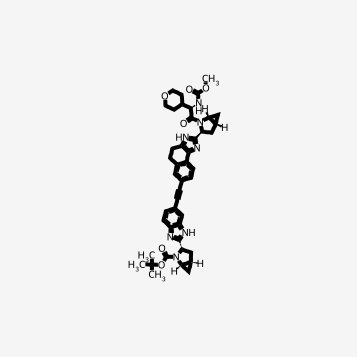 COC(=O)N[C@H](C(=O)N1[C@@H]2C[C@@H]2C[C@H]1c1nc2c([nH]1)CCc1cc(C#Cc3ccc4nc([C@@H]5C[C@H]6C[C@H]6N5C(=O)OC(C)(C)C)[nH]c4c3)ccc1-2)C1CCOCC1